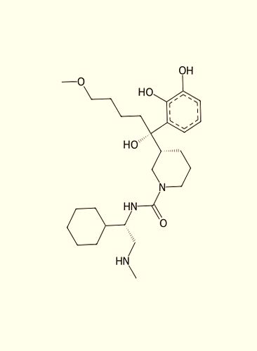 CNC[C@@H](NC(=O)N1CCC[C@@H]([C@@](O)(CCCCOC)c2cccc(O)c2O)C1)C1CCCCC1